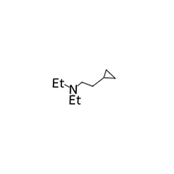 CCN(CC)CCC1CC1